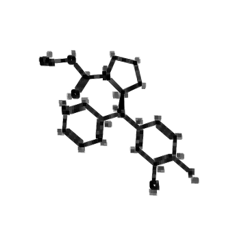 CC(C)(C)OC(=O)N1CCC[C@H]1N(c1cccnc1)c1ccc(F)c(Cl)c1